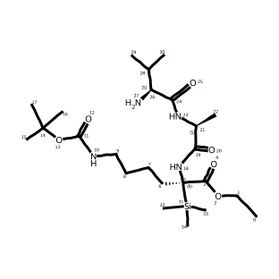 CCOC(=O)[C@](CCCCNC(=O)OC(C)(C)C)(NC(=O)[C@H](C)NC(=O)[C@@H](N)C(C)C)[Si](C)(C)C